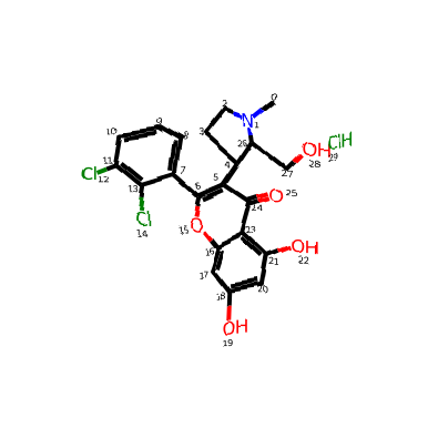 CN1CCC(c2c(-c3cccc(Cl)c3Cl)oc3cc(O)cc(O)c3c2=O)C1CO.Cl